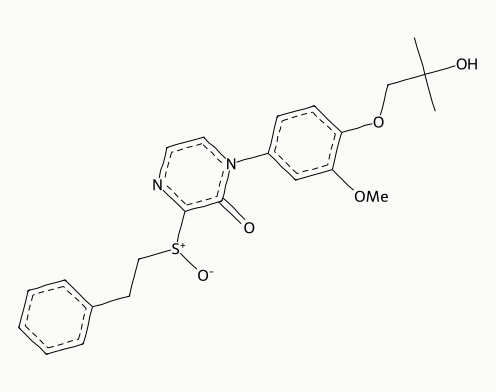 COc1cc(-n2ccnc([S+]([O-])CCc3ccccc3)c2=O)ccc1OCC(C)(C)O